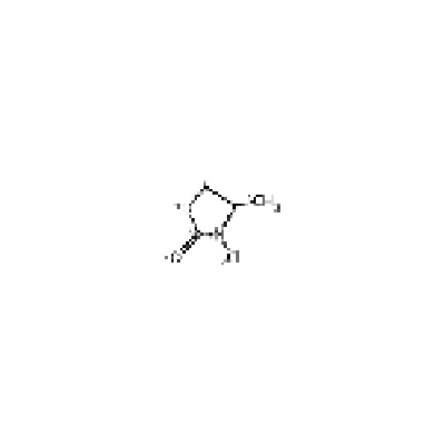 CC1COC(=O)N1Cl